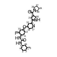 Cc1cccc(NC(=O)Nc2ccc(Oc3ccnc(-c4cc(C(=O)N5CCCC5)c[nH]4)c3)cc2F)c1